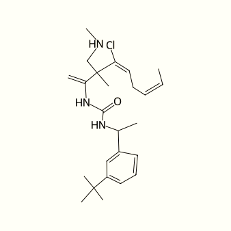 C=C(NC(=O)NC(C)c1cccc(C(C)(C)C)c1)C(C)(CNC)/C(Cl)=C\C/C=C\C